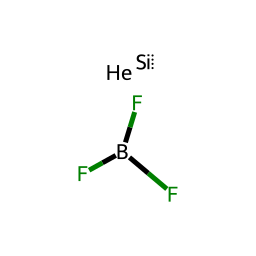 FB(F)F.[He].[Si]